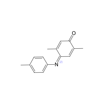 CC1=C/C(=N/c2ccc(C)cc2)C(C)=CC1=O